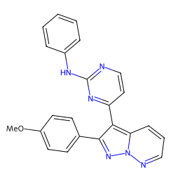 COc1ccc(-c2nn3ncccc3c2-c2ccnc(Nc3ccccc3)n2)cc1